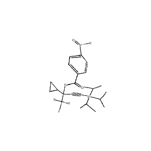 CC(C)[Si](C#CC(OC(=O)c1ccc([N+](=O)[O-])cc1)(C1CC1)C(F)(F)F)(C(C)C)C(C)C